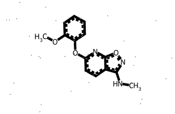 CNc1noc2nc(Oc3ccccc3OC)ccc12